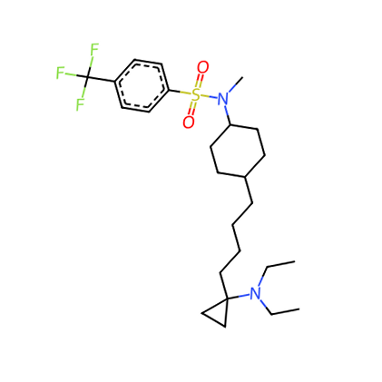 CCN(CC)C1(CCCCC2CCC(N(C)S(=O)(=O)c3ccc(C(F)(F)F)cc3)CC2)CC1